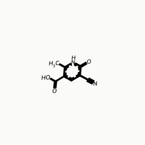 Cc1[nH]c(=O)c(C#N)cc1C(=O)O